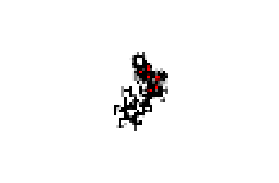 CN1CCC[C@@H]1C(=O)NC[C@]1(O)C2CCC1C[C@@H](S(=O)(=O)c1cc(C(=O)Nc3cc(F)c(F)c(F)c3)ccc1Cl)C2